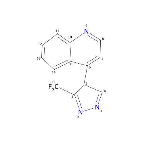 FC(F)(F)C1=NN=CC1c1ccnc2ccccc12